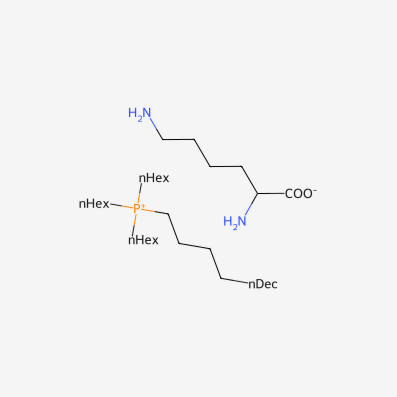 CCCCCCCCCCCCCC[P+](CCCCCC)(CCCCCC)CCCCCC.NCCCCC(N)C(=O)[O-]